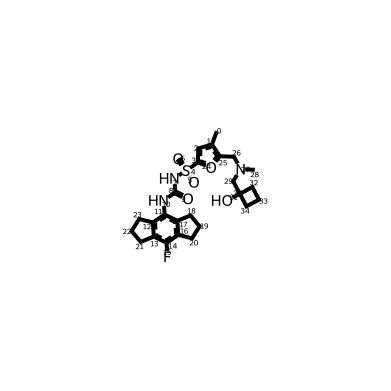 Cc1cc(S(=O)(=O)NC(=O)Nc2c3c(c(F)c4c2CCC4)CCC3)oc1CN(C)CC1(O)CCC1